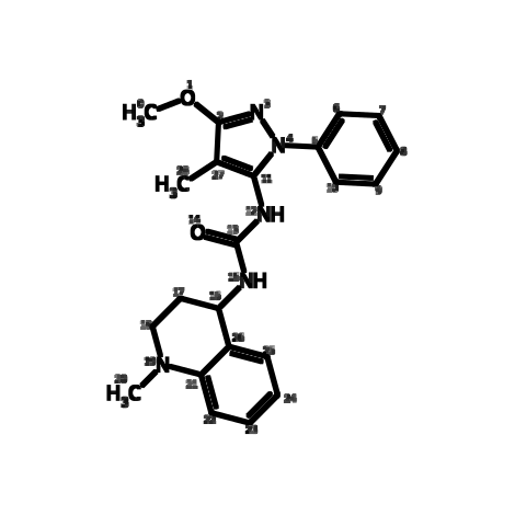 COc1nn(-c2ccccc2)c(NC(=O)NC2CCN(C)c3ccccc32)c1C